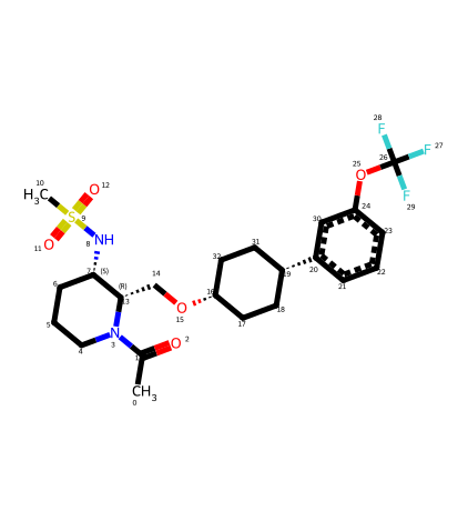 CC(=O)N1CCC[C@H](NS(C)(=O)=O)[C@@H]1CO[C@H]1CC[C@@H](c2cccc(OC(F)(F)F)c2)CC1